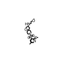 COCCNC1COC2(CCN(S(=O)(=O)c3cc(C)cnc3OC)CC2)C1